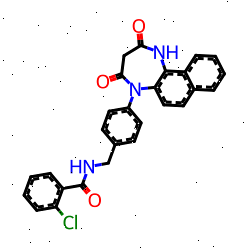 O=C1CC(=O)N(c2ccc(CNC(=O)c3ccccc3Cl)cc2)c2ccc3ccccc3c2N1